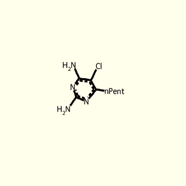 CCCCCc1nc(N)nc(N)c1Cl